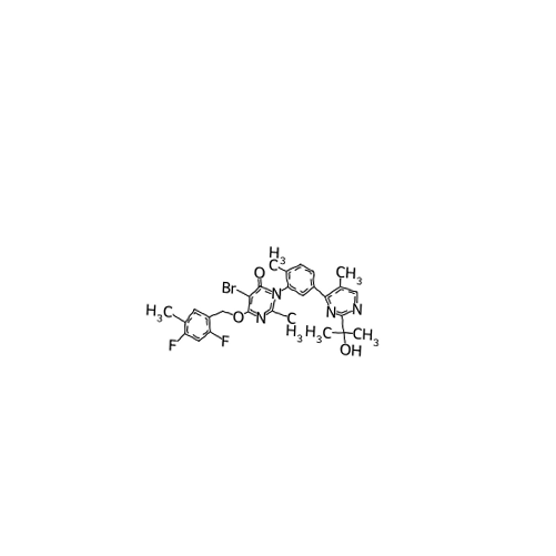 Cc1cc(COc2nc(C)n(-c3cc(-c4nc(C(C)(C)O)ncc4C)ccc3C)c(=O)c2Br)c(F)cc1F